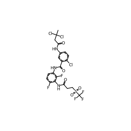 CC(Cl)(Cl)CC(=O)Nc1ccc(Cl)c(C(=O)Nc2ccc(F)c(NC(=O)CCS(=O)(=O)C(F)(F)F)c2F)c1